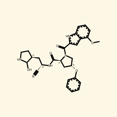 COc1cccc2[nH]c(C(=O)N3C[C@H](Oc4ccccc4)C[C@H]3C(=O)N[C@H](C#N)C[C@@H]3CCNC3O)cc12